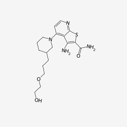 NC(=O)c1sc2nccc(N3CCCC(CCCOCCO)C3)c2c1N